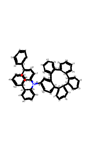 c1ccc(-c2ccc(N(c3ccc4c5ccccc5c5ccccc5c5ccccc5c5ccccc5c4c3)c3ccccc3-c3ccccc3)cc2)cc1